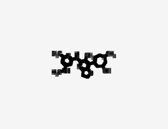 CNc1cc(C)nc(Nc2nc3c(c(C4=CCN(C)C[C@@H](O)C4)c2C)OCC3)c1